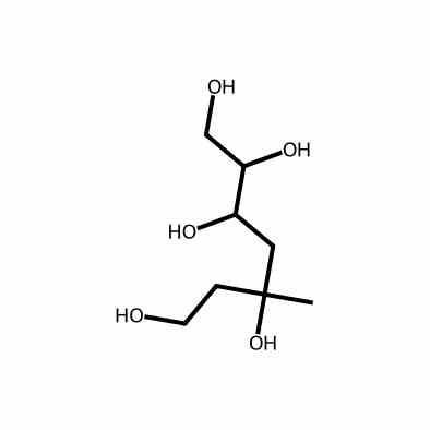 CC(O)(CCO)CC(O)C(O)CO